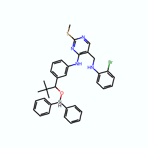 CSc1ncc(CNc2ccccc2Br)c(Nc2cccc(C(O[SiH](c3ccccc3)c3ccccc3)C(C)(C)C)c2)n1